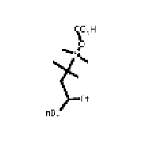 CCCCC(CC)CC(C)(C)[Si](C)(C)OC(=O)O